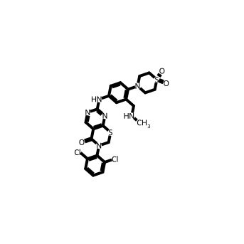 CNCc1cc(Nc2ncc3c(n2)SCN(c2c(Cl)cccc2Cl)C3=O)ccc1N1CCS(=O)(=O)CC1